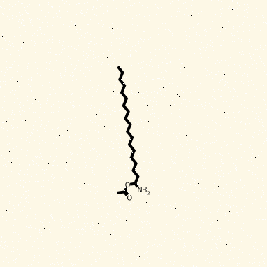 CCCCCCCCCCCCCCCCCCC(N)OC(C)=O